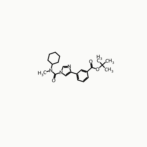 CN(C(=O)n1cnc(-c2cccc(C(=O)OC(C)(C)C)c2)c1)C1CCCCC1